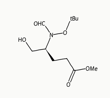 COC(=O)CC[C@@H](CO)N(C=O)OC(C)(C)C